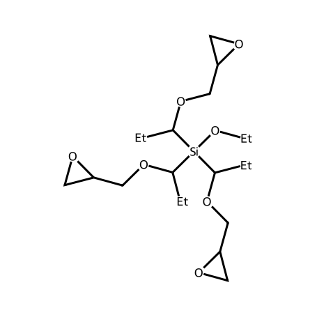 CCO[Si](C(CC)OCC1CO1)(C(CC)OCC1CO1)C(CC)OCC1CO1